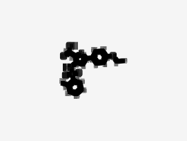 CCOc1ccc(-c2cc(NS(=O)(=O)c3ccccc3C)c(C(=O)O)s2)cc1